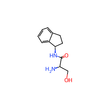 N[C@H](CO)C(=O)N[C@@H]1CCc2ccccc21